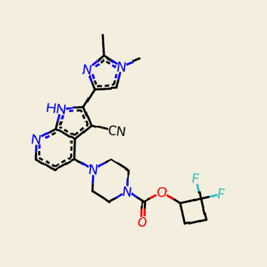 Cc1nc(-c2[nH]c3nccc(N4CCN(C(=O)OC5CCC5(F)F)CC4)c3c2C#N)cn1C